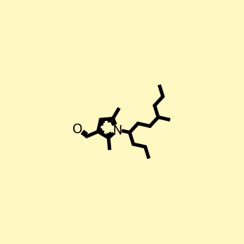 CCCC(C)CCC(CCC)n1c(C)cc(C=O)c1C